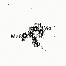 COc1ccc(-c2cc(N3C[C@H](CS(C)(=O)=O)[C@H]3C)cc(-n3ncc4c(C)nc(-c5cnccc5OC)cc43)n2)cc1F